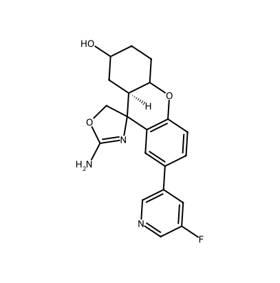 NC1=NC2(CO1)c1cc(-c3cncc(F)c3)ccc1OC1CCC(O)C[C@@H]12